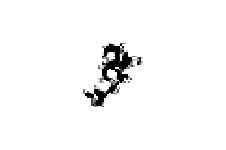 CCc1cc2c(s1)CCOC21CCN(Cc2cnn(C)c2)C(C)(C)C1